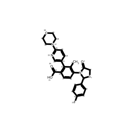 Cc1c(N2C(=O)CSC2c2ccc(F)cc2)ccc(C(=O)O)c1-c1ccc(N2CCOCC2)nc1